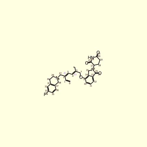 C=C/C(=C\C=C(/C)COc1cccc2c1CN(C1CCC(=O)NC1=O)C2=O)CN1CCc2cc(F)ccc2C1